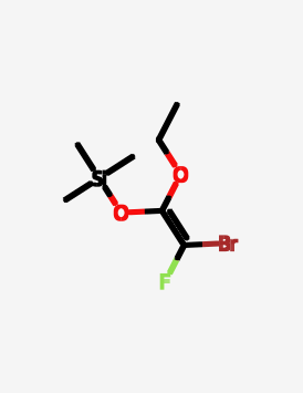 CCO/C(O[Si](C)(C)C)=C(/F)Br